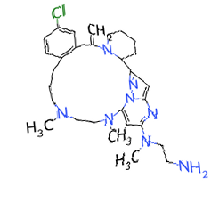 C=C1c2cc(Cl)ccc2CCCN(C)CCN(C)c2cc(N(C)CCN)nc3cc(nn23)C2CCCCN12